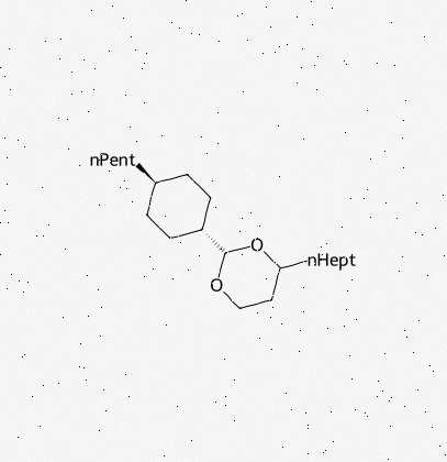 CCCCCCCC1CCOC([C@H]2CC[C@H](CCCCC)CC2)O1